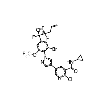 C=CCC(F)(F)C(F)(c1cc(Br)c(-n2cc(-c3cnc(Cl)c(C(=O)NC4CC4)c3)cn2)c(OC(F)(F)F)c1)C(F)(F)F